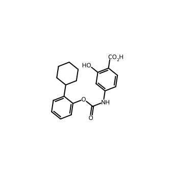 O=C(Nc1ccc(C(=O)O)c(O)c1)Oc1ccccc1C1CCCCC1